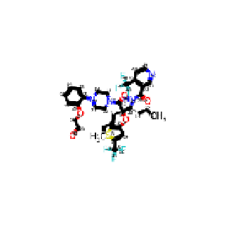 CCCC[C@@](Oc1csc(C(F)(F)F)c1)(C(=O)N1CCN(c2ccccc2OCC=O)CC1)[C@@H](CCC)NC(=O)c1cnccc1C(F)(F)F